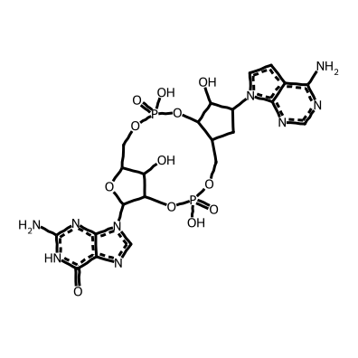 Nc1nc2c(ncn2C2OC3COP(=O)(O)OC4C(COP(=O)(O)OC2C3O)CC(n2ccc3c(N)ncnc32)C4O)c(=O)[nH]1